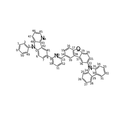 c1ccc(-n2c3ccc(-c4cccc(-c5ccc6oc7ccc(-n8c9ccccc9c9ccccc98)cc7c6c5)n4)cc3c3ncccc32)cc1